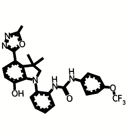 Cc1nnc(-c2ccc(O)c3c2C(C)(C)CN3c2ccccc2NC(=O)Nc2ccc(OC(F)(F)F)cc2)o1